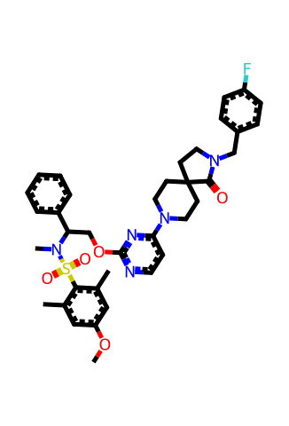 COc1cc(C)c(S(=O)(=O)N(C)C(COc2nccc(N3CCC4(CCN(Cc5ccc(F)cc5)C4=O)CC3)n2)c2ccccc2)c(C)c1